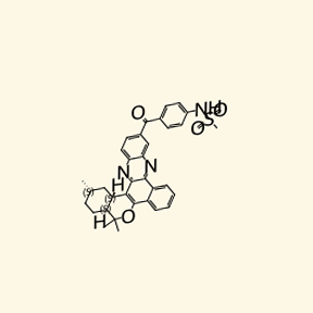 C[C@H]1CC[C@H]2[C@H](C1)c1c(c3ccccc3c3nc4cc(C(=O)c5ccc(NS(C)(=O)=O)cc5)ccc4nc13)OC2(C)C